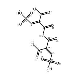 O=C(Cl)C(=CS(=O)(=O)O)C(=O)OC(=O)C(=CS(=O)(=O)O)C(=O)Cl